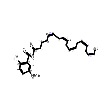 CC/C=C\C/C=C\C/C=C\C/C=C\C/C=C\CCCC(=O)OC(=O)c1cc(NC)ccc1O